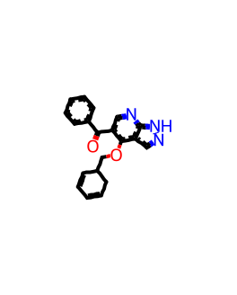 O=C(c1ccccc1)c1cnc2[nH]ncc2c1OCC1C=CC=CC1